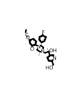 CCCOc1ccc(N2C[C@@H](C)N(C[C@@](C)(O)c3ccc(CO)nc3)C[C@H]2c2ccc(F)cc2)c(Cl)c1